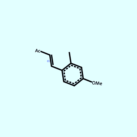 COc1ccc(/C=C/C(C)=O)c(C)c1